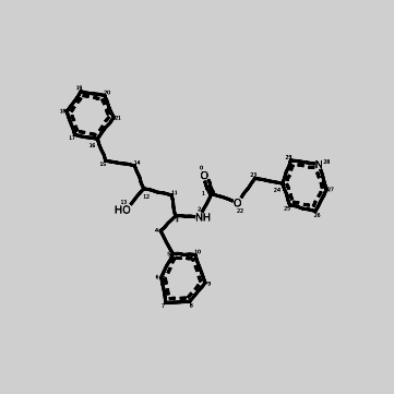 O=C(NC(Cc1ccccc1)CC(O)CCc1ccccc1)OCc1cccnc1